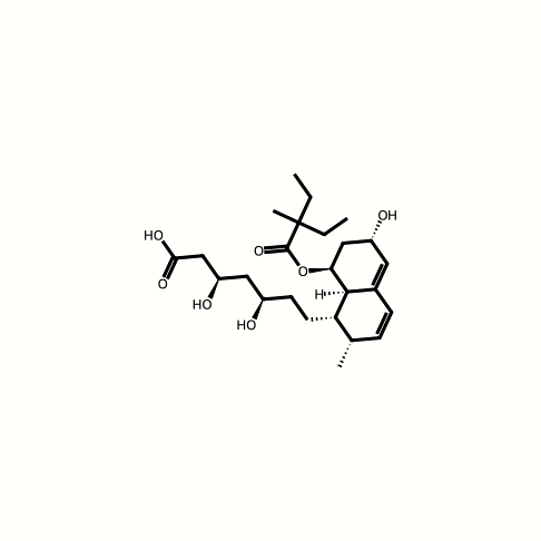 CCC(C)(CC)C(=O)O[C@H]1C[C@H](O)C=C2C=C[C@H](C)[C@H](CC[C@@H](O)C[C@@H](O)CC(=O)O)[C@H]21